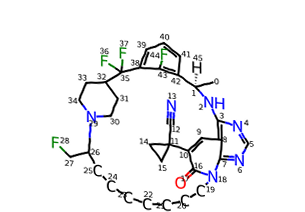 C[C@H]1Nc2ncnc3c2cc(C2(C#N)CC2)c(=O)n3CCCCCCCC(CF)N2CCC(CC2)C(F)(F)c2cccc1c2F